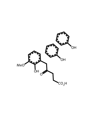 COc1cccc(CC(=O)CCC(=O)O)c1O.Oc1ccccc1.Oc1ccccc1